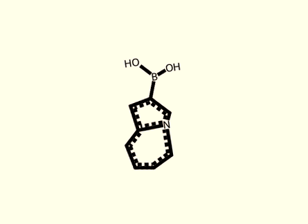 OB(O)c1cc2ccccn2c1